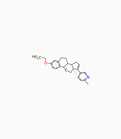 Cc1ccc(C2=CCC3C4CCc5cc(OCC(=O)O)ccc5C4CC[C@]23C)cn1